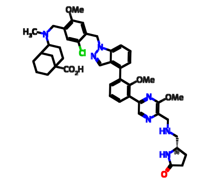 COc1cc(Cn2ncc3c(-c4cccc(-c5cnc(CNC[C@@H]6CCC(=O)N6)c(OC)n5)c4OC)cccc32)c(Cl)cc1CN(C)C1CCC2(C(=O)O)CCCC1C2